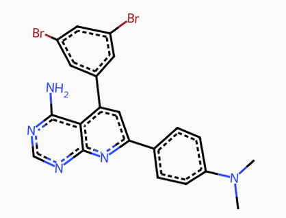 CN(C)c1ccc(-c2cc(-c3cc(Br)cc(Br)c3)c3c(N)ncnc3n2)cc1